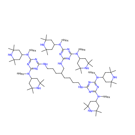 CCCCCCN(c1nc(NCCCCC(CCCNc2nc(N(CCCCCC)C3CC(C)(C)NC(C)(C)C3)nc(N(CCCCCC)C3CC(C)(C)NC(C)(C)C3)n2)CNc2nc(N(CCCCCC)C3CC(C)(C)NC(C)(C)C3)nc(N(CCCCCC)C3CC(C)(C)NC(C)(C)C3)n2)nc(N(CCCCCC)C2CC(C)(C)NC(C)(C)C2)n1)C1CC(C)(C)NC(C)(C)C1